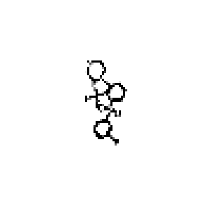 O=S(=O)(c1cccc(F)c1)c1cccc(N2CCNCC2)c1C(F)(F)F